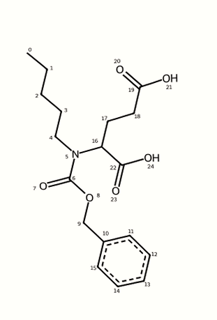 CCCCCN(C(=O)OCc1ccccc1)C(CCC(=O)O)C(=O)O